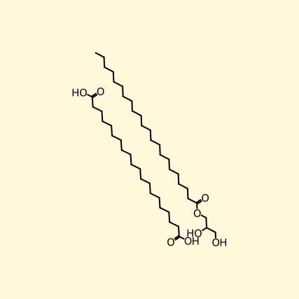 CCCCCCCCCCCCCCCCCCCCCC(=O)OCC(O)CO.O=C(O)CCCCCCCCCCCCCCCCCCC(=O)O